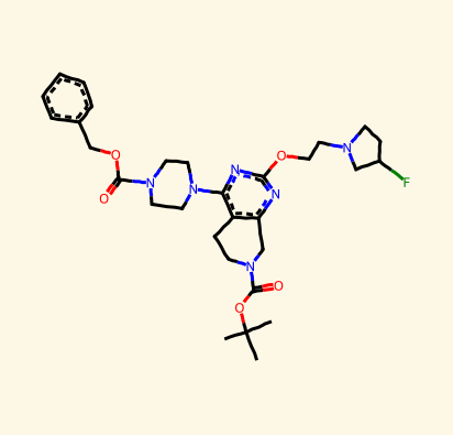 CC(C)(C)OC(=O)N1CCc2c(nc(OCCN3CCC(F)C3)nc2N2CCN(C(=O)OCc3ccccc3)CC2)C1